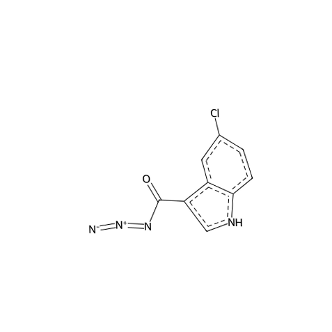 [N-]=[N+]=NC(=O)c1c[nH]c2ccc(Cl)cc12